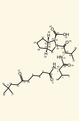 CC(C)[C@H](NC(=O)CCCCC(=O)CCC(C)(C)C)C(=O)N[C@H](C(=O)N1C[C@@H]2CCC[C@@H]2[C@H]1C(=O)O)C(C)C